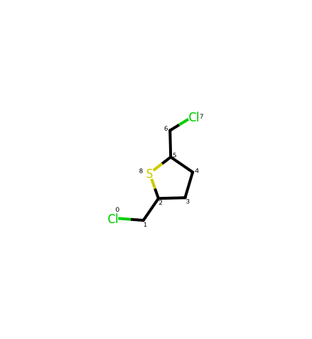 ClCC1CCC(CCl)S1